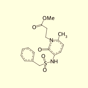 COC(=O)CCn1c(C)ccc(NS(=O)(=O)Cc2ccccc2)c1=O